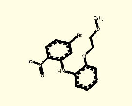 COCCOc1ccccc1Nc1cc(Br)ccc1[N+](=O)[O-]